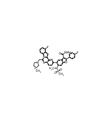 CNC(=O)c1c(-c2ccc(F)cc2)oc2cc(N(C)S(C)(=O)=O)c(-c3ccc4nc(CN5CC[C@@H](C)C5)n5c6cccc(F)c6cc5c4n3)cc12